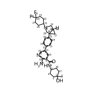 CC1(O)CCC(NC(=O)c2cc(-c3ccc([C@]45C[C@H]4CN(C4CCC(F)(F)CC4)C5)cc3)cnc2N)CC1